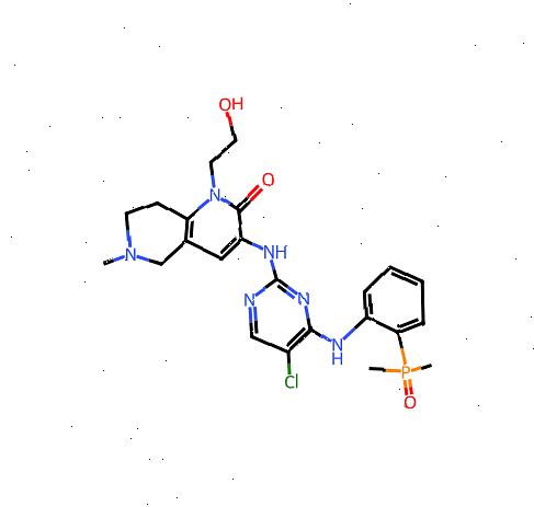 CN1CCc2c(cc(Nc3ncc(Cl)c(Nc4ccccc4P(C)(C)=O)n3)c(=O)n2CCO)C1